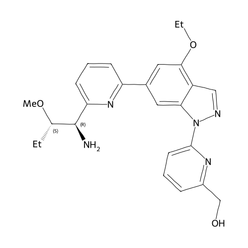 CCOc1cc(-c2cccc([C@@H](N)[C@H](CC)OC)n2)cc2c1cnn2-c1cccc(CO)n1